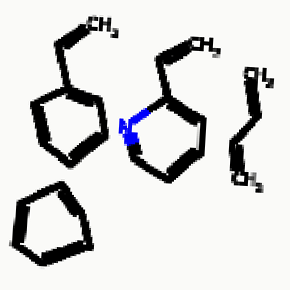 C=CC=C.C=Cc1ccccc1.C=Cc1ccccn1.c1ccccc1